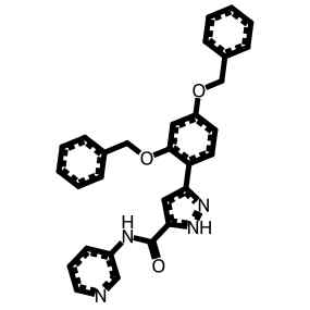 O=C(Nc1cccnc1)c1cc(-c2ccc(OCc3ccccc3)cc2OCc2ccccc2)n[nH]1